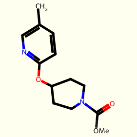 COC(=O)N1CCC(Oc2ccc(C)cn2)CC1